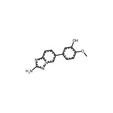 COc1ccc(-c2ccc3nc(N)nn3c2)cc1O